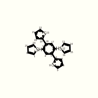 C1=C[SH](c2cc(-c3cccs3)c([SH]3C=CC=C3)cc2-c2cccs2)C=C1